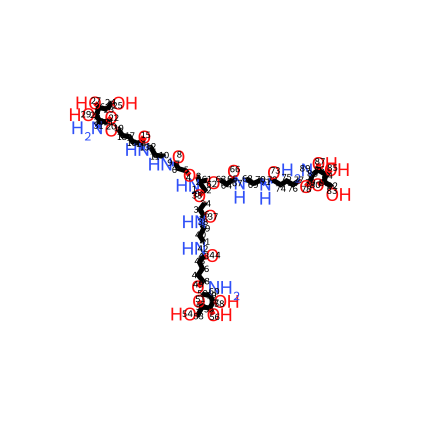 CNC(COCCC(=O)NCCCNC(=O)CCCCOC1OC(CO)C(O)C(O)C1N)(COCCC(=O)NCCCNC(=O)CCCCOC1OC(CO)C(O)C(O)C1N)COCCC(=O)NCCCNC(=O)CCCCOC1OC(CO)C(O)C(O)C1N